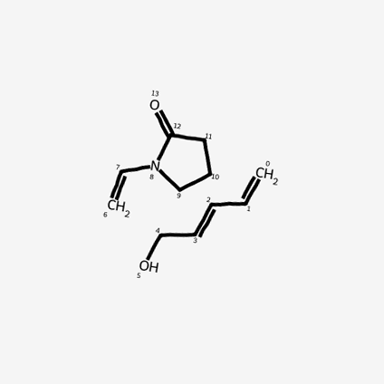 C=CC=CCO.C=CN1CCCC1=O